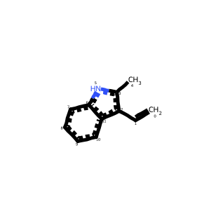 C=[C]c1c(C)[nH]c2ccccc12